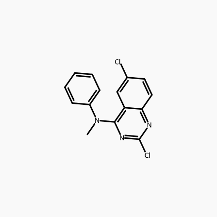 CN(c1ccccc1)c1nc(Cl)nc2ccc(Cl)cc12